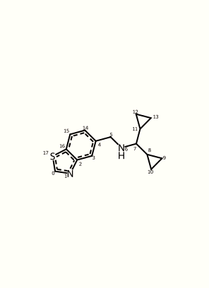 c1nc2cc(CNC(C3CC3)C3CC3)ccc2s1